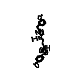 COc1ccc(S(=O)(=O)NCCNC2=NC(Cc3cccc(OC)c3)=NC2)cc1